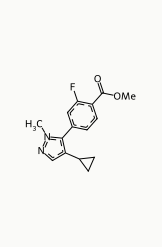 COC(=O)c1ccc(-c2c(C3CC3)cnn2C)cc1F